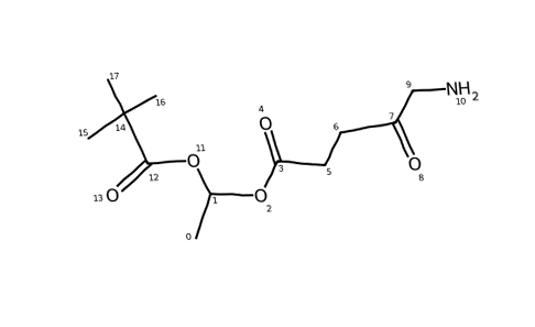 CC(OC(=O)CCC(=O)CN)OC(=O)C(C)(C)C